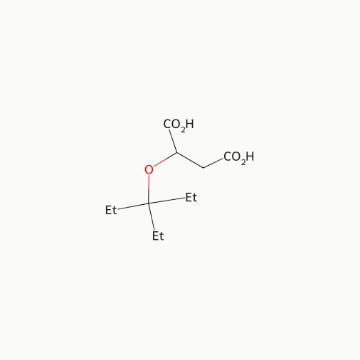 CCC(CC)(CC)OC(CC(=O)O)C(=O)O